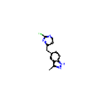 Cc1n[nH]c2ccc(Cc3ccnc(Cl)n3)cc12